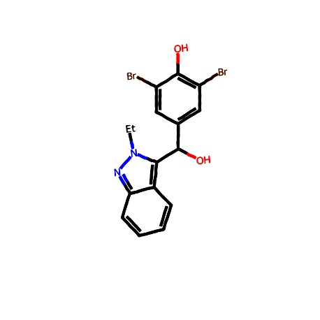 CCn1nc2ccccc2c1C(O)c1cc(Br)c(O)c(Br)c1